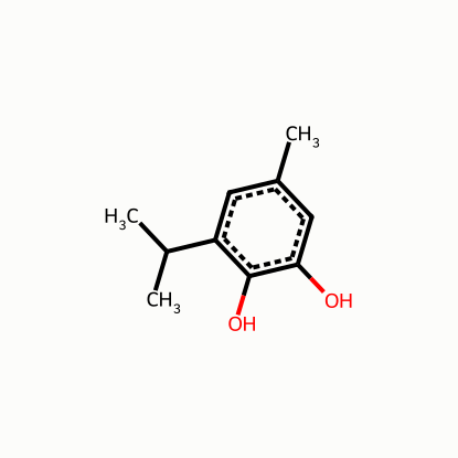 Cc1cc(O)c(O)c(C(C)C)c1